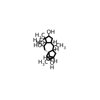 C[C@H]1[C@@H]2C[C@@H]3[C@@H](O)[C@@]2(C[C@@H](O)[C@@]2(O)[C@H]1C[C@H](O)C2(C)C)C[C@@]3(C)O